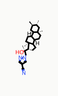 C[C@@H]1C[C@@H]2C3CC[C@@]4(C)C(CC[C@@H]4[C@](C)(O)Cn4cc(C#N)cn4)[C@@H]3CC[C@]2(C)C[C@H]1C